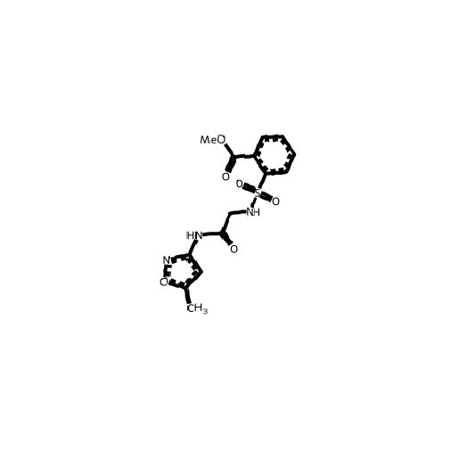 COC(=O)c1ccccc1S(=O)(=O)NCC(=O)Nc1cc(C)on1